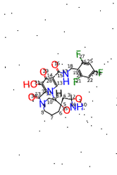 COC1(C)C[C@]2(CCCN3C[C@H]2n2cc(C(=O)NCc4c(F)cc(F)cc4F)c(=O)c(O)c2C3=O)ON1